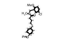 COc1ccc(Cl)cc1CN(C)C(=O)CCCSc1ccc(OC(C)C)cc1